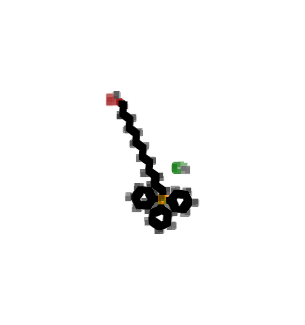 BrCCCCCCCCCCC=CC[P+](c1ccccc1)(c1ccccc1)c1ccccc1.[Cl-]